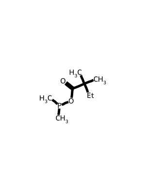 CCC(C)(C)C(=O)OP(C)C